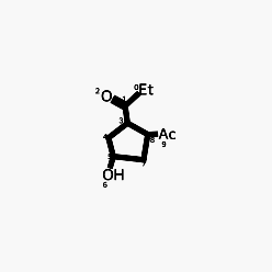 CCC(=O)C1CC(O)CC1C(C)=O